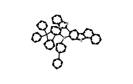 c1ccc(-c2ccc(N(c3cc4sc5c6ccccc6ccc5c4cc3-c3nc4ccccc4o3)c3cccc4c3-c3ccccc3C4(c3ccccc3)c3ccccc3)cc2)cc1